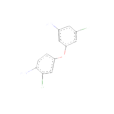 Nc1cc(Br)cc(Oc2ccc(N)c(Br)c2)c1